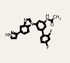 CC(=O)Nc1cc(-c2ccc(F)cc2F)cc(-n2cnc3cc(-c4cc[nH]n4)ccc32)c1